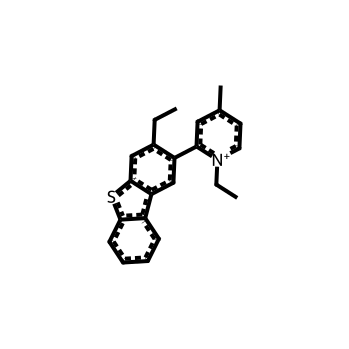 CCc1cc2sc3ccccc3c2cc1-c1cc(C)cc[n+]1CC